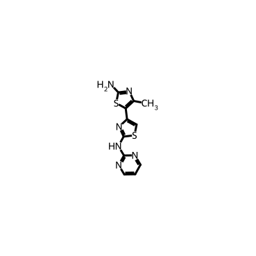 Cc1nc(N)sc1-c1csc(Nc2ncccn2)n1